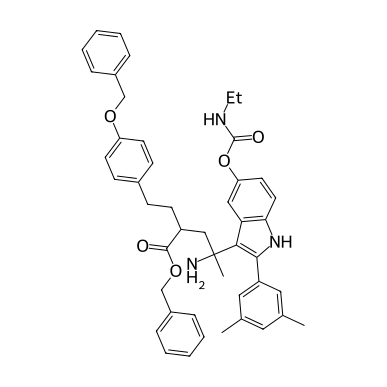 CCNC(=O)Oc1ccc2[nH]c(-c3cc(C)cc(C)c3)c(C(C)(N)CC(CCc3ccc(OCc4ccccc4)cc3)C(=O)OCc3ccccc3)c2c1